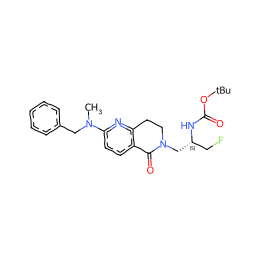 CN(Cc1ccccc1)c1ccc2c(n1)CCN(C[C@@H](CF)NC(=O)OC(C)(C)C)C2=O